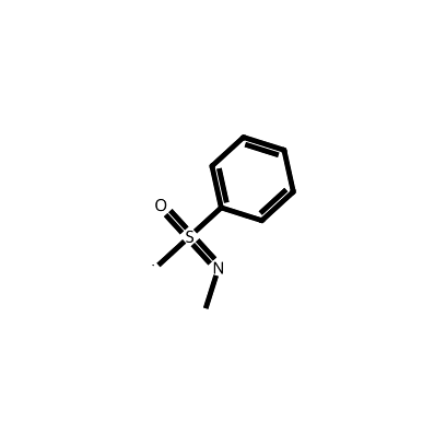 [CH2]S(=O)(=NC)c1ccccc1